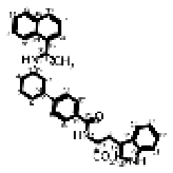 C[C@@H](N[C@H]1CCC[C@H](c2ccc(C(=O)N[C@H](Cc3c[nH]c4ccccc34)C(=O)O)cc2)C1)c1cccc2ccccc12